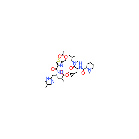 COC(=O)[C@@H](C)C[C@H](Cc1ncc(C)cn1)NC(=O)c1csc([C@@H](C[C@H](C(C)C)N(C)C(=O)[C@H](CC2CC2)NC(=O)[C@H]2CCCCN2C)OC(C)=O)n1